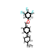 CCCC1CCC(c2ccc(COc3cc(F)c(F)c(F)c3)cc2)CC1